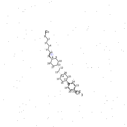 FCCCCC/C=C/[C@H]1CC[C@H](CC[C@H]2CC[C@H](c3ccc(C(F)(F)F)cc3)CC2)CC1